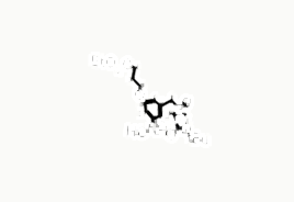 CCOC(=O)CCCOc1cc(CS(C)(=O)=NC(=O)OC(C)(C)C)cc(NO)c1